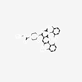 Cc1cccc(C(C)C)c1-n1c(=O)nc(N2CCN(C(=O)OC(C)(C)C)C[C@@H]2C)c2cc(Cl)c(-c3c(O)cccc3F)nc21